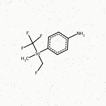 [CH3][Sn]([CH2]F)([c]1ccc(N)cc1)[C](F)(F)F